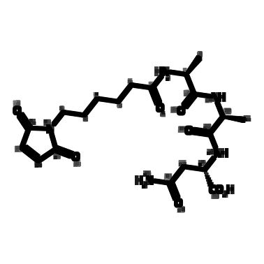 C[C@H](NC(=O)CCCCCN1C(=O)C=CC1=O)C(=O)N[C@@H](C)C(=O)N[C@@H](CC(N)=O)C(=O)O